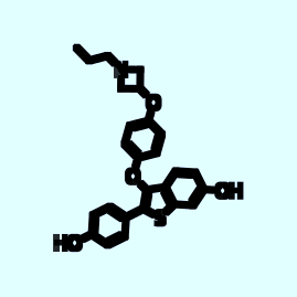 CCCN1CC(Oc2ccc(Oc3c(-c4ccc(O)cc4)sc4cc(O)ccc34)cc2)C1